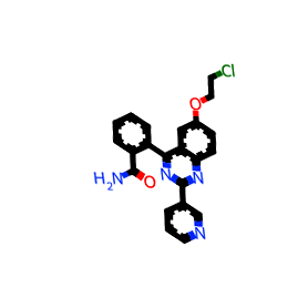 NC(=O)c1ccccc1-c1nc(-c2cccnc2)nc2ccc(OCCCl)cc12